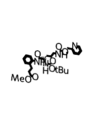 COC(=O)CCc1ccccc1NC(=O)[C@H](CCCNC(=O)OCc1ccccn1)NC(=O)OC(C)(C)C